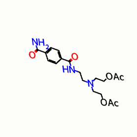 CC(=O)OCCN(CCNC(=O)c1ccc(C(N)=O)cc1)CCOC(C)=O